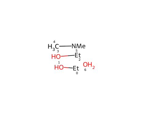 CCO.CCO.CNC.O